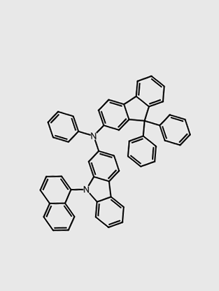 c1ccc(N(c2ccc3c(c2)C(c2ccccc2)(c2ccccc2)c2ccccc2-3)c2ccc3c4ccccc4n(-c4cccc5ccccc45)c3c2)cc1